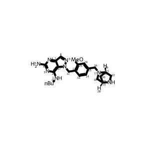 CCCCNc1nc(N)nc2cnn(Cc3ccc(CN4C[C@@H]5C[C@H]4CN5)cc3OC)c12